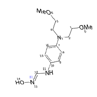 COCCN(CCOC)c1ccc(N/C=N/O)cc1